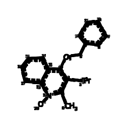 Cc1c(C(C)C)c(OCc2ccccc2)c2ccccc2[n+]1[O-]